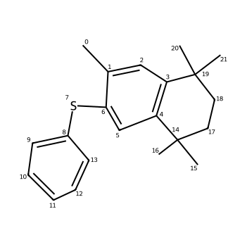 Cc1cc2c(cc1Sc1ccccc1)C(C)(C)CCC2(C)C